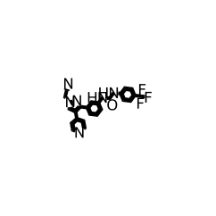 N#CCn1cc(-c2ccncc2)c(-c2cccc(NC(=O)Nc3ccc(C(F)(F)F)cc3)c2)n1